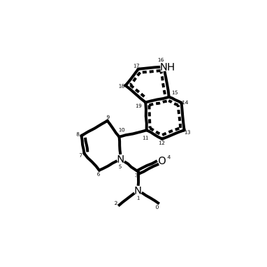 CN(C)C(=O)N1CC=CCC1c1cccc2[nH]ccc12